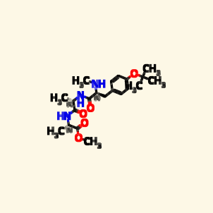 CN[C@@H](Cc1ccc(OC(C)(C)C)cc1)C(=O)N[C@@H](C)C(=O)N[C@@H](C)C(=O)OC